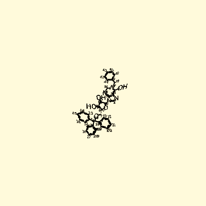 OC1=c2ncn([C@@H]3O[C@H](COC(c4ccccc4)(c4ccccc4)c4ccccc4)[C@@H](O)[C@H]3O)c2=NCN1Cc1ccccc1